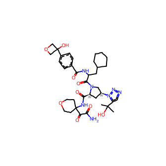 CC(C)(O)c1cnnn1[C@H]1C[C@@H](C(=O)NC2(C(=O)C(N)=O)CCOCC2)N(C(=O)C(CC2CCCCC2)NC(=O)c2ccc(C3(O)COC3)cc2)C1